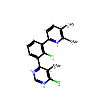 COc1nc(-c2cccc(-c3ncnc(Cl)c3OC)c2Cl)ccc1C=O